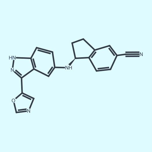 N#Cc1ccc2c(c1)CC[C@@H]2Nc1ccc2[nH]nc(-c3cnco3)c2c1